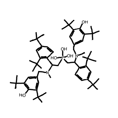 CN(Cc1cc(C(C)(C)C)c(O)c(C(C)(C)C)c1)C(CP(O)(O)(O)CC(c1ccc(C(C)(C)C)cc1C(C)(C)C)N(C)Cc1cc(C(C)(C)C)c(O)c(C(C)(C)C)c1)c1ccc(C(C)(C)C)cc1C(C)(C)C